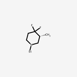 CCN1CCC(F)(F)[C@H](C)C1